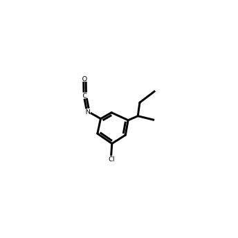 CCC(C)c1cc(Cl)cc(N=C=O)c1